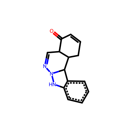 O=C1C=CCC2C1C=NN1Nc3ccccc3C21